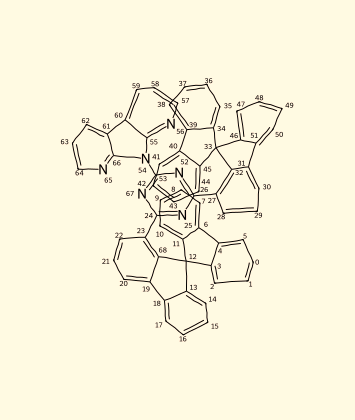 c1ccc2c(c1)-c1ccccc1C21c2ccccc2-c2cccc(-c3nc(-c4cccc5c4C4(c6ccccc6-c6ccccc64)c4ccccc4-5)nc(-n4c5ncccc5c5cccnc54)n3)c21